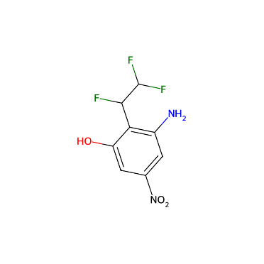 Nc1cc([N+](=O)[O-])cc(O)c1C(F)C(F)F